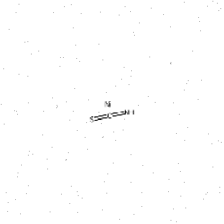 N=C=S.[Ni]